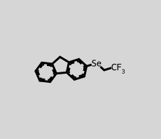 FC(F)(F)C[Se]c1ccc2c(c1)Cc1ccccc1-2